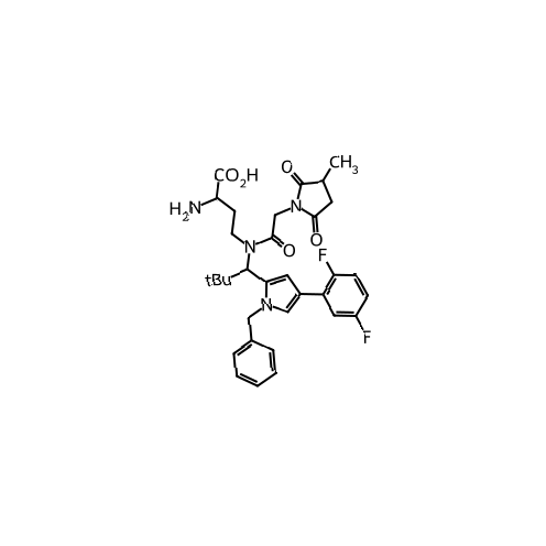 CC1CC(=O)N(CC(=O)N(CCC(N)C(=O)O)C(c2cc(-c3cc(F)ccc3F)cn2Cc2ccccc2)C(C)(C)C)C1=O